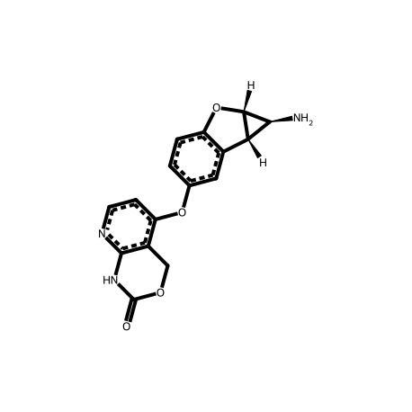 N[C@@H]1[C@H]2Oc3ccc(Oc4ccnc5c4COC(=O)N5)cc3[C@@H]12